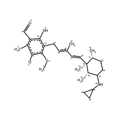 COc1c(Cl)c(C)c(C=O)c(O)c1C/C=C(C)/C=C/[C@@]1(C)[C@H](C)CCC(NC2CC2)[C@@H]1C